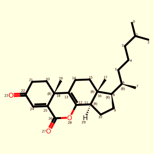 CC(C)CCC[C@@H](C)[C@H]1CC[C@H]2C3=C(CC[C@]12C)[C@@]1(C)CCC(=O)C=C1C(=O)O3